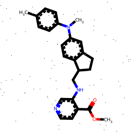 COC(=O)c1ccncc1NCC1CCc2cc(N(C)c3ccc(C)cc3)ccc21